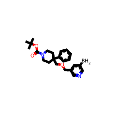 Bc1cncc(COCC2(c3ccccc3)CCN(C(=O)OC(C)(C)C)CC2)c1